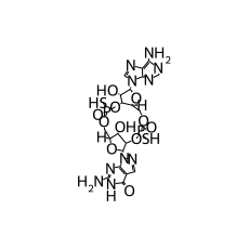 Nc1nc2c(cnn2[C@@H]2O[C@@H]3COP(=O)(S)OC4[C@@H](COP(=O)(S)OC2C3O)O[C@@H](n2cnc3c(N)ncnc32)[C@H]4O)c(=O)[nH]1